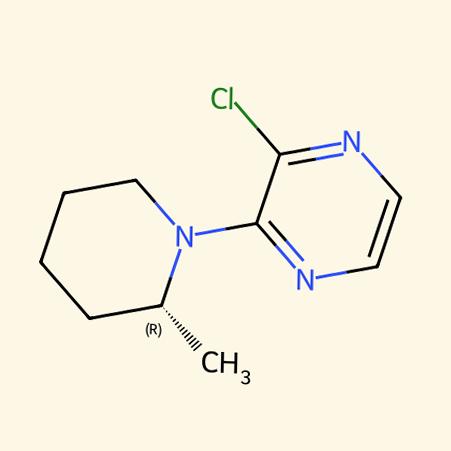 C[C@@H]1CCCCN1c1nccnc1Cl